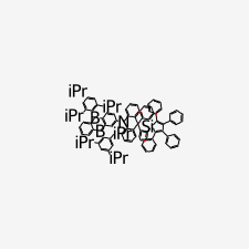 CC(C)c1cc(C(C)C)c(B2c3ccccc3B(c3c(C(C)C)cc(C(C)C)cc3C(C)C)c3cc(N4c5ccccc5C5(c6ccccc64)c4ccccc4[Si]4(C(c6ccccc6)=C(c6ccccc6)C(c6ccccc6)=C4c4ccccc4)c4ccccc45)ccc32)c(C(C)C)c1